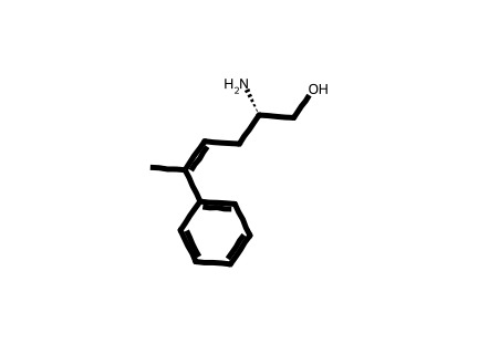 C/C(=C/C[C@H](N)CO)c1ccccc1